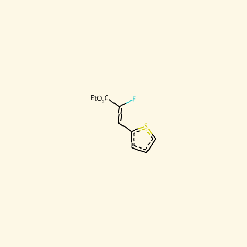 CCOC(=O)C(F)=Cc1cccs1